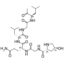 CC(=O)[C@@H](CC(C)C)NC(=O)CNC(=O)[C@@H](CC(C)C)NC(=O)[C@@H](CCC(N)=O)NC(=O)CNC(=O)[C@H]1C[C@H](O)CN1